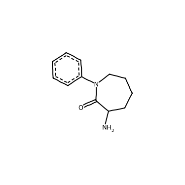 NC1CCCCN(c2ccccc2)C1=O